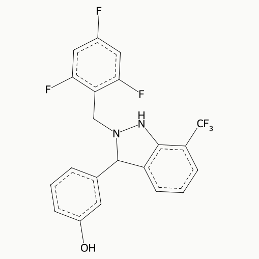 Oc1cccc(C2c3cccc(C(F)(F)F)c3NN2Cc2c(F)cc(F)cc2F)c1